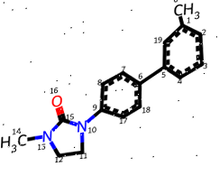 Cc1cccc(-c2ccc(N3CCN(C)C3=O)cc2)c1